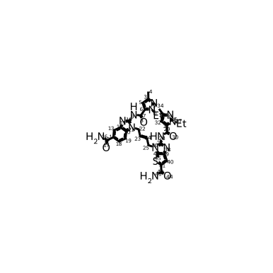 CCn1nc(C)cc1C(=O)Nc1nc2cc(C(N)=O)ccc2n1C/C=C/Cn1c(NC(=O)c2cc(C)nn2CC)nc2cc(C(N)=O)sc21